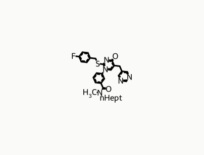 CCCCCCCN(C)C(=O)c1cccc(-n2cc(Cc3cncnc3)c(=O)nc2SCc2ccc(F)cc2)c1